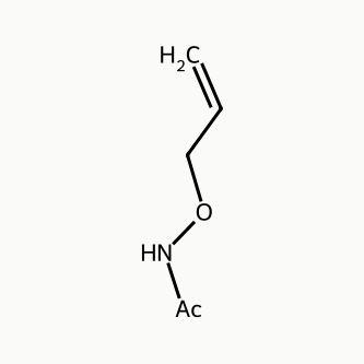 C=CCONC(C)=O